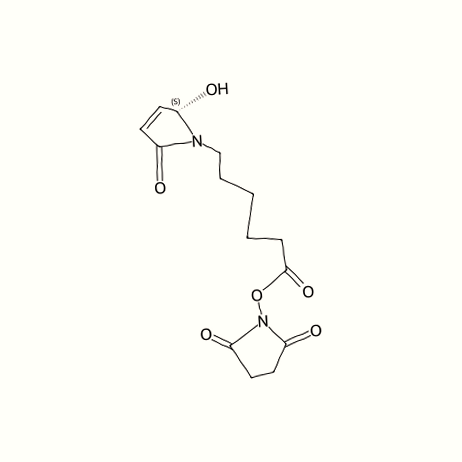 O=C(CCCCCN1C(=O)C=C[C@@H]1O)ON1C(=O)CCC1=O